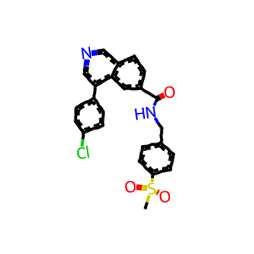 CS(=O)(=O)c1ccc(CNC(=O)c2ccc3cncc(-c4ccc(Cl)cc4)c3c2)cc1